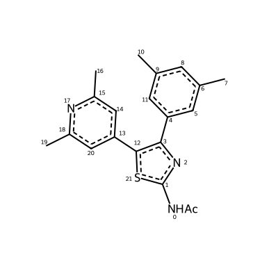 CC(=O)Nc1nc(-c2cc(C)cc(C)c2)c(-c2cc(C)nc(C)c2)s1